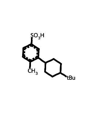 Cc1ccc(S(=O)(=O)O)cc1C1CCC(C(C)(C)C)CC1